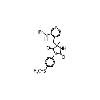 CC(C)Nc1cnccc1CC1(C)NC(=O)N(c2ccc(SC(F)(F)F)cc2)C1=O